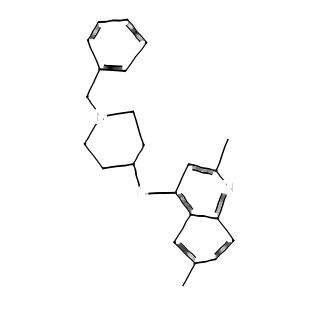 Cc1cc(OC2CCN(Cc3ccccc3)CC2)c2cc(F)ccc2n1